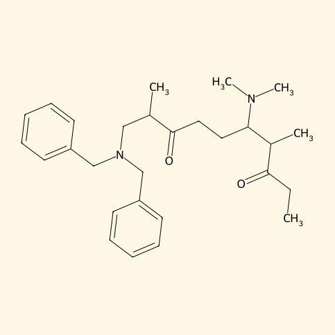 CCC(=O)C(C)C(CCC(=O)C(C)CN(Cc1ccccc1)Cc1ccccc1)N(C)C